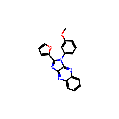 COc1cccc(-n2c(-c3ccco3)nc3nc4ccccc4nc32)c1